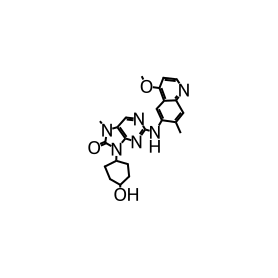 COc1ccnc2cc(C)c(Nc3ncc4c(n3)n(C3CCC(O)CC3)c(=O)n4C)cc12